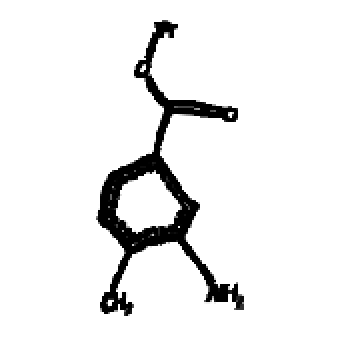 Cc1ccc(C(=O)OC(C)C)cc1N